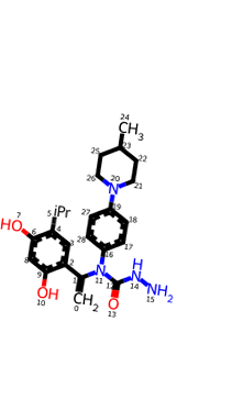 C=C(c1cc(C(C)C)c(O)cc1O)N(C(=O)NN)c1ccc(N2CCC(C)CC2)cc1